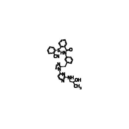 CC(O)CNc1nccc(-n2ccnc2Cc2cccc(NC(=O)c3ccccc3Sc3ccccc3C#N)c2)n1